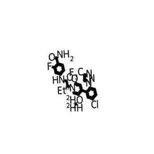 [2H]C([2H])([2H])Oc1cn([C@@H](CC)C(=O)Nc2ccc(C(N)=O)c(F)c2)c(=O)cc1-c1cc(Cl)ccc1-n1cc(C(F)(F)F)nn1